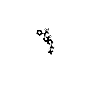 CC(C)(C)OC(=O)N1CCC2(CCN([C@H](C(=O)O)C3CCCC3)C2=O)C1